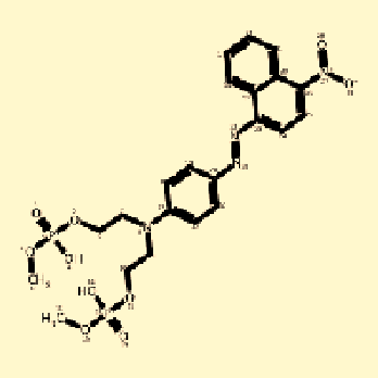 COP(=O)(O)OCCN(CCOP(=O)(O)OC)c1ccc(N=Nc2ccc([N+](=O)[O-])c3ccccc23)cc1